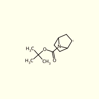 CC(C)(C)OC(=O)N1C2[C]CC1CC2